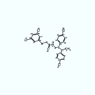 CC(c1ccc(Cl)cc1)C(CNC(=O)CCc1cc(Cl)cc(Cl)c1)c1ccc(Cl)cc1